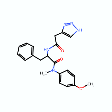 COc1ccc(N(C)C(=O)C(Cc2ccccc2)NC(=O)Cc2c[nH]nn2)cc1